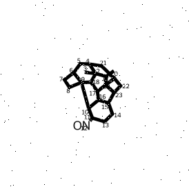 CC1C2(C)C3CC4CCC45C4C(N=O)CCC6C4C(C25)C12C(C3)CC62